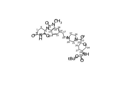 Cn1c(=O)n(C2CCC(=O)NC2=O)c2ccc(CCN3CCN(C(=O)C4CCC(NC(=O)OC(C)(C)C)CO4)CC3)cc21